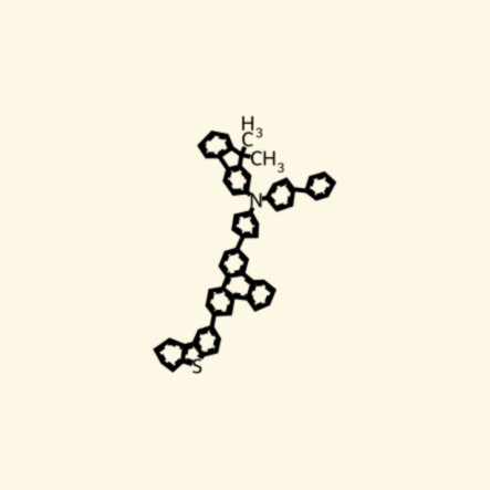 CC1(C)c2ccccc2-c2ccc(N(c3ccc(-c4ccccc4)cc3)c3ccc(-c4ccc5c6ccc(-c7ccc8sc9ccccc9c8c7)cc6c6ccccc6c5c4)cc3)cc21